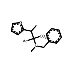 CC(=O)C(C(=O)O)(C(C)c1ccco1)N(C)Cc1ccccc1